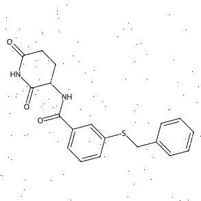 O=C1CCC(NC(=O)c2cccc(SCc3ccccc3)c2)C(=O)N1